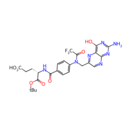 CC(C)(C)OC(=O)[C@H](CCC(=O)O)NC(=O)c1ccc(N(Cc2cnc3nc(N)nc(O)c3n2)C(=O)C(F)(F)F)cc1